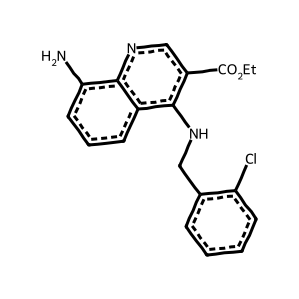 CCOC(=O)c1cnc2c(N)cccc2c1NCc1ccccc1Cl